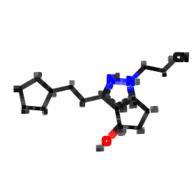 N#CCCn1nc(CCC2CCCC2)c2c1CCC2=O